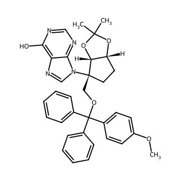 COc1ccc(C(OC[C@]2(n3cnc4c(O)ncnc43)CC[C@H]3OC(C)(C)O[C@H]32)(c2ccccc2)c2ccccc2)cc1